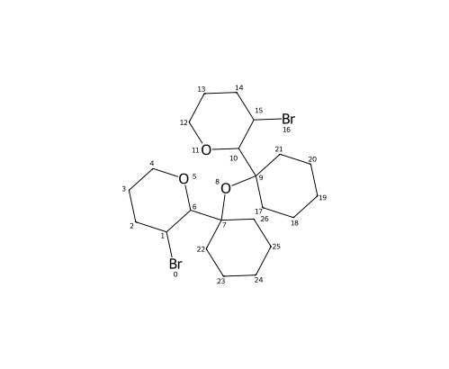 BrC1CCCOC1C1(OC2(C3OCCCC3Br)CCCCC2)CCCCC1